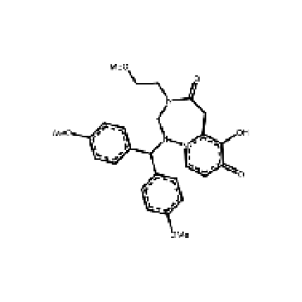 COCCN1CN(C(c2ccc(OC)cc2)c2ccc(OC)cc2)n2ccc(=O)c(O)c2CC1=O